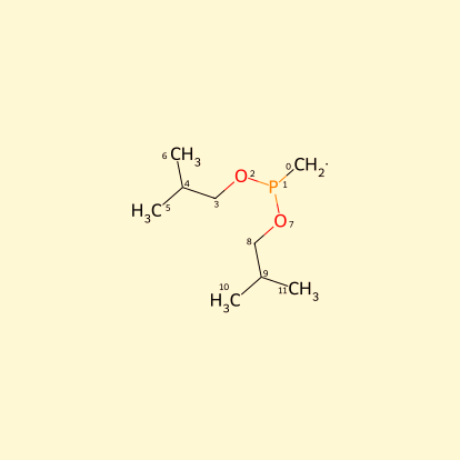 [CH2]P(OCC(C)C)OCC(C)C